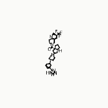 O=C(N1CCc2ncc(C(F)(F)F)cc2C1)[C@@]12CCC[C@@H]1C[C@@H](N1CCC(c3cccc(-c4nnn[nH]4)c3)CC1)C2